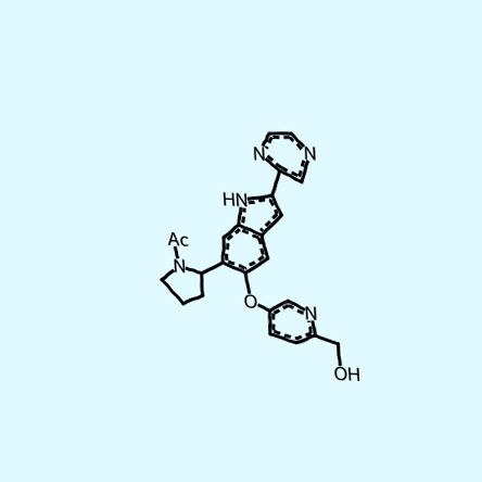 CC(=O)N1CCCC1c1cc2[nH]c(-c3cnccn3)cc2cc1Oc1ccc(CO)nc1